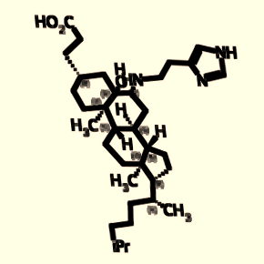 CC(C)CCC[C@@H](C)[C@H]1CC[C@H]2[C@@H]3C[C@@H](NCCc4c[nH]cn4)[C@@]4(O)C[C@@H](CCC(=O)O)CC[C@]4(C)[C@H]3CC[C@]12C